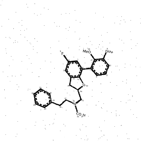 COc1cccc(-c2cc(F)cc3c2OC(CN(CCc2ccccc2)C(=O)O)C3)c1OC